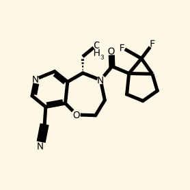 CC[C@H]1c2cncc(C#N)c2OCCN1C(=O)C12CCCC1C2(F)F